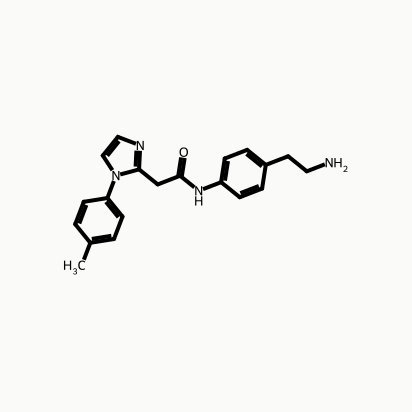 Cc1ccc(-n2ccnc2CC(=O)Nc2ccc(CCN)cc2)cc1